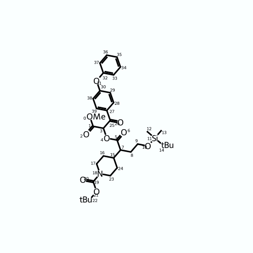 COC(=O)C(OC(=O)C(CCO[Si](C)(C)C(C)(C)C)C1CCN(C(=O)OC(C)(C)C)CC1)C(=O)c1ccc(Oc2ccccc2)cc1